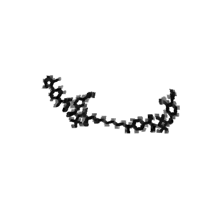 Cc1ncsc1-c1ccc(C(C)NC(=O)[C@@H]2C[C@@H](O)CN2C(=O)C(NC(=O)COCCCCCNc2ccc(C(=O)N[C@H]3C(C)(C)[C@H](Oc4ccc(C#N)c(Cl)c4)C3(C)C)cc2)C(C)(C)C)cc1